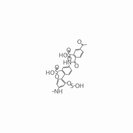 CNc1ccc(-c2ccc(NC(=O)c3ccc(C(C)=O)cc3S(=O)(=O)O)cc2S(=O)(=O)O)c(OSO)c1